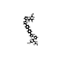 COC(=O)N[C@@H](CC(=O)O)C(=O)N1CCC[C@H]1c1ncc(-c2ccc(-c3ccc(-c4cnc([C@@H]5CCCN5C(=O)[C@@H](NC(=O)OC)C(C)C)[nH]4)cc3)cc2)[nH]1